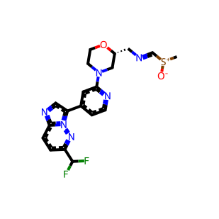 C[S+]([O-])C=NC[C@@H]1CN(c2cc(-c3cnc4ccc(C(F)F)nn34)ccn2)CCO1